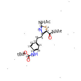 CNC(=O)c1sc(NC(C)=O)nc1CCc1ccc(NC(=O)OC(C)(C)C)cc1